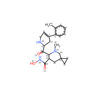 Cc1ccccc1C1=CCNC(C(=O)C2C(C(=O)NO)CC3(CC3)CN2C)C1